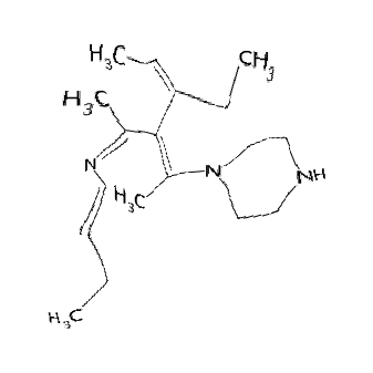 C\C=C(CC)/C(C(/C)=N\C=C\CC)=C(/C)N1CCNCC1